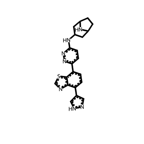 c1nc2c(-c3cn[nH]c3)ccc(-c3ccc(NC4CC5CCC(C4)N5)nn3)c2s1